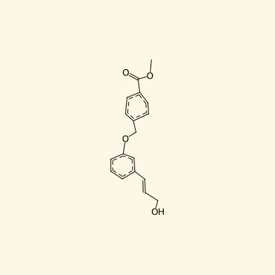 COC(=O)c1ccc(COc2cccc(/C=C/CO)c2)cc1